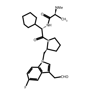 CN[C@@H](C)C(=O)N[C@H](C(=O)N1CCC[C@H]1Cn1cc(CC=O)c2cc(F)ccc21)C1CCCCC1